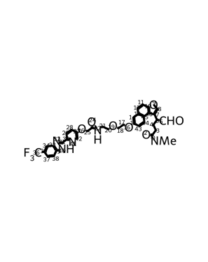 CNC(=O)CCC(C=O)c1coc2ccc3cc(OCCOCCNC(=O)COc4ccc(-c5nc6cc(C(F)(F)F)ccc6[nH]5)nc4)ccc3c12